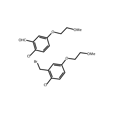 COCCOc1ccc(Cl)c(C=O)c1.COCCOc1ccc(Cl)c(CBr)c1